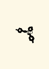 Cc1ccc(C#CB(CC(=O)c2ccc(C)cc2)c2ccccc2)cc1